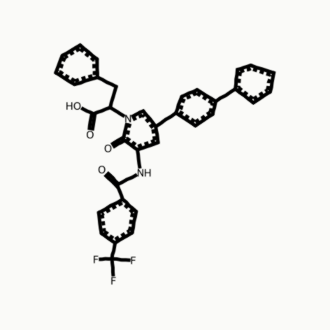 O=C(Nc1cc(-c2ccc(-c3ccccc3)cc2)cn(C(Cc2ccccc2)C(=O)O)c1=O)c1ccc(C(F)(F)F)cc1